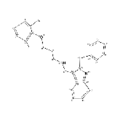 Cc1cccc(C)c1OCCCNCc1c2ccccc2nn1Cc1ccccc1